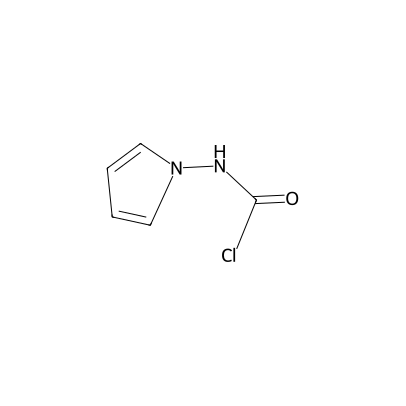 O=C(Cl)Nn1cccc1